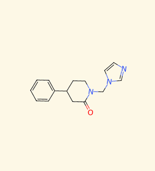 O=C1CC(c2ccccc2)CCN1Cn1ccnc1